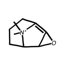 C[N+]1(C)C2=C3OC3C1CCC2